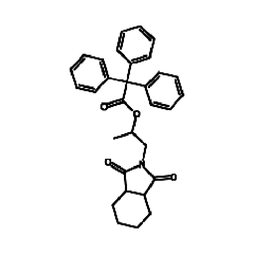 CC(CN1C(=O)C2CCCCC2C1=O)OC(=O)C(c1ccccc1)(c1ccccc1)c1ccccc1